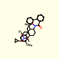 CCc1ccc(OC)cc1C12CCN(CC3CC3)C(C)C13CCC1C2[C@@H](CN1C(=O)c1ccccc1-c1ccccc1)C3